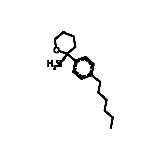 CCCCCCc1ccc(C2([SiH3])CCCCO2)cc1